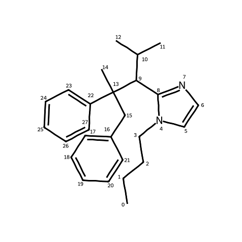 CCCCn1ccnc1C(C(C)C)C(C)(Cc1ccccc1)c1ccccc1